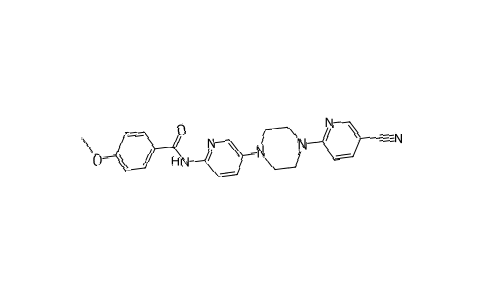 COc1ccc(C(=O)Nc2ccc(N3CCN(c4ccc(C#N)cn4)CC3)cn2)cc1